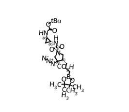 CC(C)(C)OC(=O)N[C@@H]1C[C@H]1NS(=O)(=O)N1C[C@H](CCCB2OC(C)(C)C(C)(C)O2)[C@](N=[N+]=[N-])(C(=O)O)C1